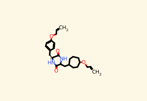 C=CCOc1ccc(C[C@@H]2NC(=O)C(CC3CCCC(OCC=C)CC3)NC2=O)cc1